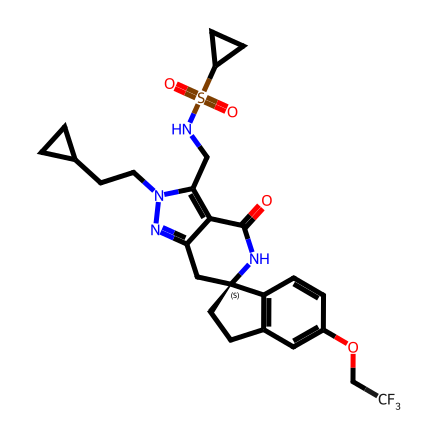 O=C1N[C@@]2(CCc3cc(OCC(F)(F)F)ccc32)Cc2nn(CCC3CC3)c(CNS(=O)(=O)C3CC3)c21